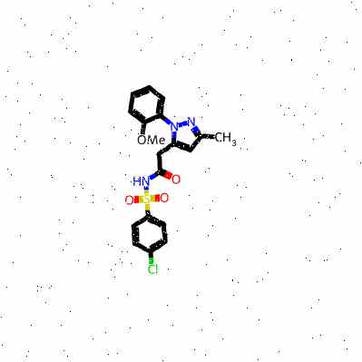 COc1ccccc1-n1nc(C)cc1CC(=O)NS(=O)(=O)c1ccc(Cl)cc1